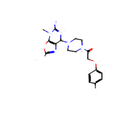 COc1nc2c(o1)N(C)C(N)=NC2N1CCN(C(=O)COc2ccc(Cl)cc2)CC1